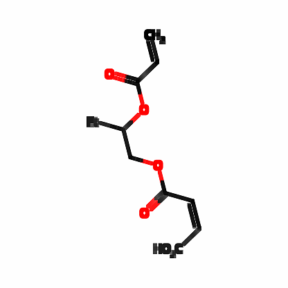 C=CC(=O)OC(CC)COC(=O)/C=C\C(=O)O